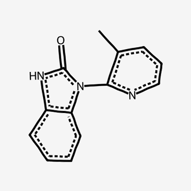 Cc1cccnc1-n1c(=O)[nH]c2ccccc21